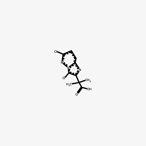 CC(C)(C(=O)O)c1nc2ccc(Cl)nn2c1Cl